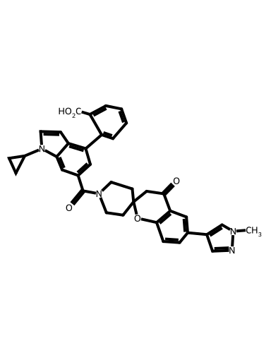 Cn1cc(-c2ccc3c(c2)C(=O)CC2(CCN(C(=O)c4cc(-c5ccccc5C(=O)O)c5ccn(C6CC6)c5c4)CC2)O3)cn1